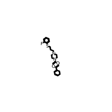 Fc1ccccc1SCCCN1CCN(C2=COC(C3=CC=CCC3)=CO2)CC1